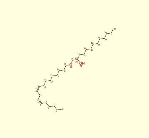 CCCCC/C=C\C/C=C\CCCCCCCCOC[C@H](O)CCCCCCCCCCC